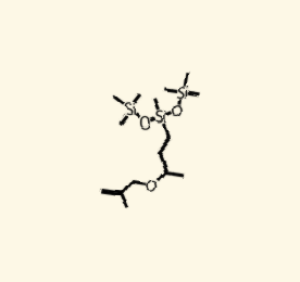 C=C(C)COC(C)CC[Si](C)(O[Si](C)(C)C)O[Si](C)(C)C